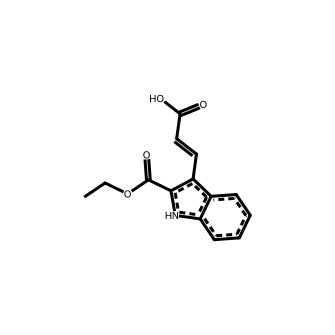 CCOC(=O)c1[nH]c2ccccc2c1C=CC(=O)O